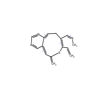 C=C/C1=C(\C=N/C)C/C=c2/ncnc/c2=C/C(=C)S1